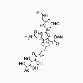 COC(=O)[C@H](CCCCNC(=O)C(O)C(O)C(O)C(O)C(C)=O)NC(=O)[C@H](CC(N)=O)NC(=O)[C@H](CC=O)NC(=O)CNC(C)C